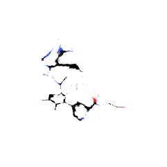 CCC#Cc1c(N)ncnc1N(C)C(C)c1cc(Cl)c(C)c(-c2ccnc(C(=O)NCCO)c2)c1OC